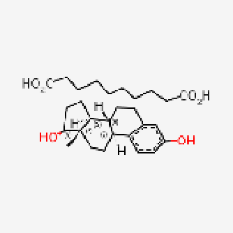 C[C@]12CC[C@@H]3c4ccc(O)cc4CC[C@H]3[C@@H]1CC[C@@H]2O.O=C(O)CCCCCCCCC(=O)O